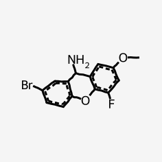 COc1cc(F)c2c(c1)C(N)c1cc(Br)ccc1O2